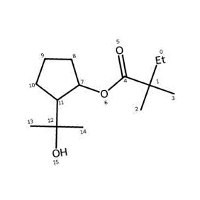 CCC(C)(C)C(=O)OC1CCCC1C(C)(C)O